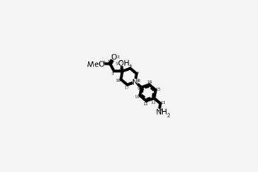 COC(=O)CC1(O)CCN(c2ccc(CN)cc2)CC1